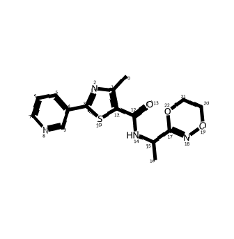 Cc1nc(-c2cccnc2)sc1C(=O)NC(C)C1=NOCCO1